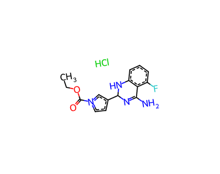 CCOC(=O)n1ccc(C2N=C(N)c3c(F)cccc3N2)c1.Cl